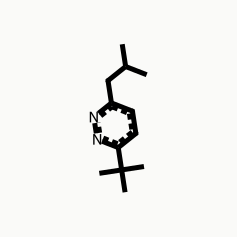 CC(C)Cc1ccc(C(C)(C)C)nn1